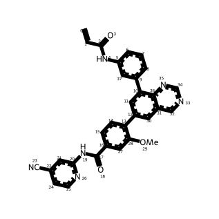 C=CC(=O)Nc1cccc(-c2cc(-c3ccc(C(=O)Nc4cc(C#N)ccn4)cc3OC)cc3cncnc23)c1